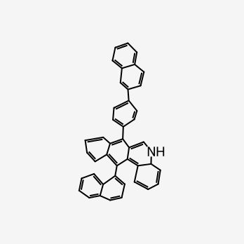 C1=CC2=c3c(-c4cccc5ccccc45)c4ccccc4c(-c4ccc(-c5ccc6ccccc6c5)cc4)c3=CNC2C=C1